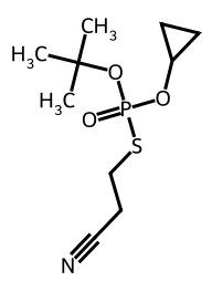 CC(C)(C)OP(=O)(OC1CC1)SCCC#N